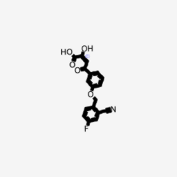 N#Cc1cc(F)ccc1COc1cccc(C(=O)/C=C(/O)C(=O)O)c1